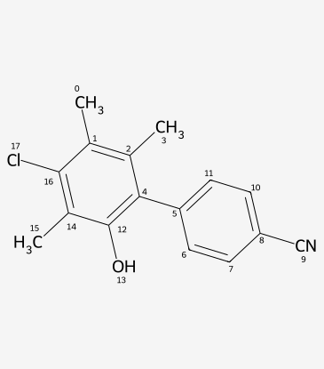 Cc1c(C)c(-c2ccc(C#N)cc2)c(O)c(C)c1Cl